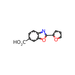 O=C(O)c1ccc2nc(-c3ccco3)oc2c1